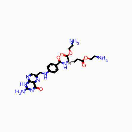 NCCOC(=O)CC[C@H](NC(=O)c1ccc(NCc2cnc3[nH]c(N)nc(=O)c3n2)cc1)C(=O)OCCN